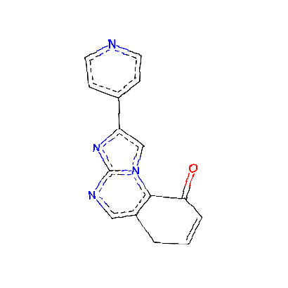 O=C1C=CCc2cnc3nc(-c4ccncc4)cn3c21